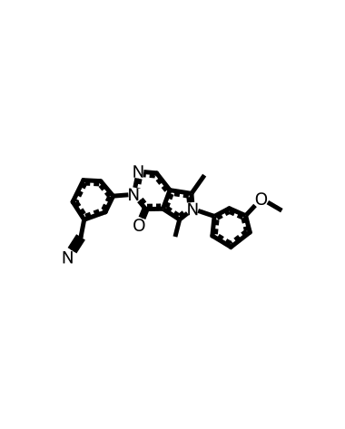 COc1cccc(-n2c(C)c3cnn(-c4cccc(C#N)c4)c(=O)c3c2C)c1